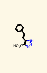 O=C(O)c1nn[nH]c1C=Cc1ccccc1